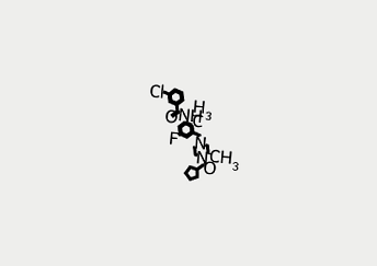 Cc1c(CN2CCN(C(=O)C3CCCC3)[C@@H](C)C2)cc(F)cc1NC(=O)c1cccc(Cl)c1